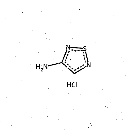 Cl.Nc1cnsn1